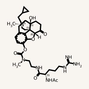 CC(=O)N[C@@H](CCCNC(=N)N)C(=O)NCCN(C)C(=O)Oc1ccc2c3c1O[C@H]1C(=O)CC[C@@]4(O)C(C2)[N@+](C)(CC2CC2)CC[C@]314